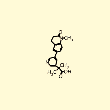 CN1C(=O)CCc2cc(-c3cncc(C(C)(C)C(=O)O)c3)ccc21